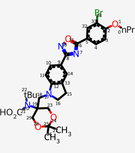 CCCOc1ccc(-c2nc(-c3ccc4c(c3)CCN4CC3(N(C(=O)O)C(C)(C)C)COC(C)(C)OC3)no2)cc1Br